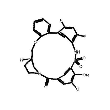 O=C1c2cc(Cl)c(O)c(c2)S(=O)(=O)Nc2cc(c(F)cc2F)-c2ccccc2OC[C@H]2CCN1C2